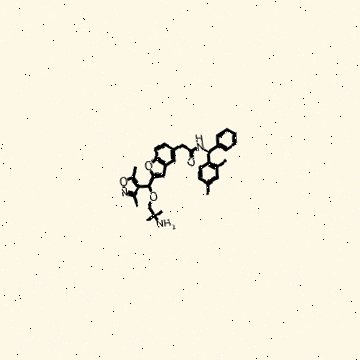 Cc1ccc([C@@H](NC(=O)Cc2ccc3oc(C(OCC(C)(C)N)c4c(C)noc4C)cc3c2)c2ccccc2)c(C)c1